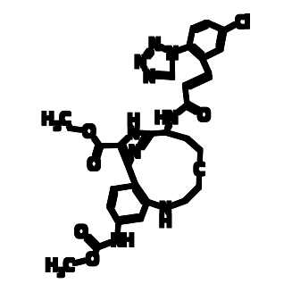 CCOC(=O)c1[nH]c2nc1-c1ccc(NC(=O)OC)cc1NCCCCC[C@@H]2NC(=O)/C=C/c1cc(Cl)ccc1-n1cnnn1